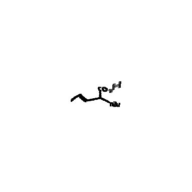 CC=CC(CCCC)C(=O)O